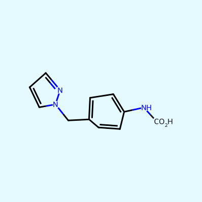 O=C(O)Nc1ccc(Cn2cccn2)cc1